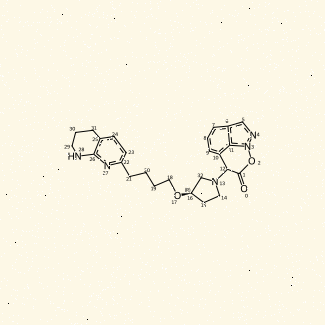 O=C1On2ncc3cccc(c32)C1N1CC[C@@H](OCCCCc2ccc3c(n2)NCCC3)C1